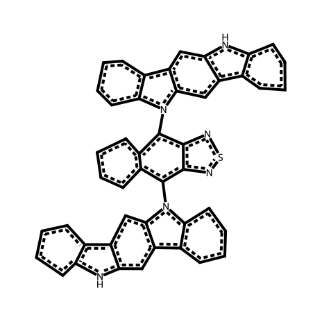 c1ccc2c(c1)[nH]c1cc3c4ccccc4n(-c4c5ccccc5c(-n5c6ccccc6c6cc7[nH]c8ccccc8c7cc65)c5nsnc45)c3cc12